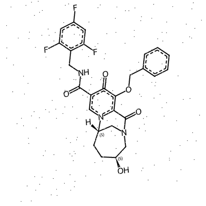 O=C(NCc1c(F)cc(F)cc1F)c1cn2c(c(OCc3ccccc3)c1=O)C(=O)N1C[C@@H](O)CC[C@H]2C1